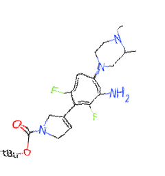 CC1CN(c2cc(F)c(C3=CCN(C(=O)OC(C)(C)C)C3)c(F)c2N)CCN1C